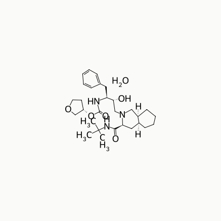 CC(C)(C)NC(=O)[C@@H]1C[C@@H]2CCCC[C@@H]2CN1C[C@@H](O)[C@H](Cc1ccccc1)NC(=O)O[C@H]1CCOC1.O